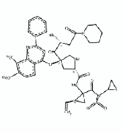 C=C[C@@H]1CC1(NC(=O)[C@@H]1C[C@](Oc2cc(-c3ccccc3)nc3c(C)c(OC)ccc23)(C(=O)[C@@H](CC(=O)N2CCCCC2)C(C)(C)C)CN1)C(=O)N(C1CC1)[SH](=O)=O